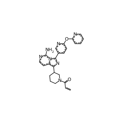 C=CC(=O)N1CCCC(c2nc(-c3ccc(Oc4ccccn4)nc3)n3c(N)nccc23)C1